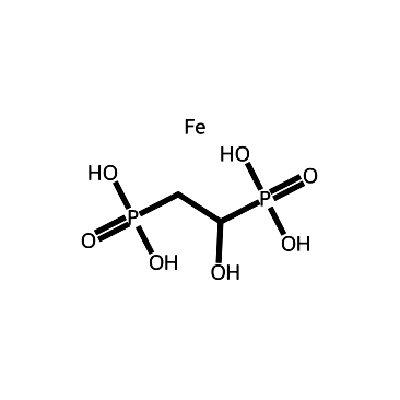 O=P(O)(O)CC(O)P(=O)(O)O.[Fe]